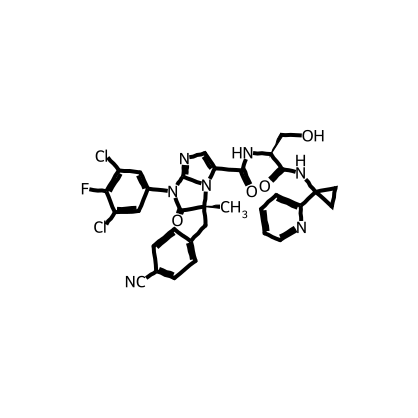 C[C@@]1(Cc2ccc(C#N)cc2)C(=O)N(c2cc(Cl)c(F)c(Cl)c2)c2ncc(C(=O)N[C@@H](CO)C(=O)NC3(c4ccccn4)CC3)n21